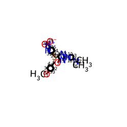 COc1ccc(COc2nc(N3CC[C@@H](N(C)C)C3)ncc2Sc2ccc([N+](=O)[O-])nc2)cc1